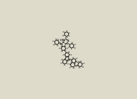 c1ccc(C2=NC(c3ccccc3)=C3c4cc(-c5ccc6c(c5)c5ccccc5n6-c5ccc6c7c(cccc57)-c5ccccc5-6)ccc4N(c4ccccc4)C3N2)cc1